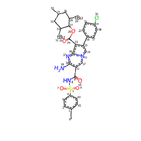 Cc1ccc(S(=O)(=O)NC(=O)c2cn3cc(-c4ccc(Cl)cc4)c(C(=O)OC4C(C(C)(C)C)CC(C)CC4C(C)(C)C)c3nc2N)cc1